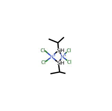 CC(C)[SiH]1[N+](Cl)(Cl)[SiH](C(C)C)[N+]1(Cl)Cl